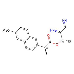 CC[C@H](OC(=O)[C@@H](C)c1ccc2cc(OC)ccc2c1)C(=N)C=N